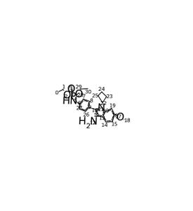 CCOP(=O)(Nc1ccc(-c2c(N)c3ccc(OC)cc3n2C2CCC2)cc1)OCC